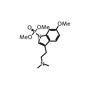 COc1ccc2c(CCN(C)C)cn(P(=O)(OC)OC)c2c1